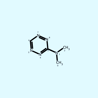 CN(C)c1nncnn1